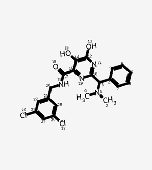 CN(C)C(c1ccccc1)c1nc(O)c(O)c(C(=O)NCc2cc(Cl)cc(Cl)c2)n1